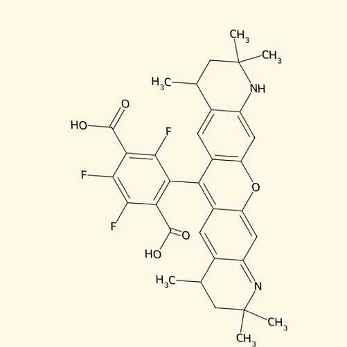 CC1CC(C)(C)Nc2cc3c(cc21)C(c1c(F)c(C(=O)O)c(F)c(F)c1C(=O)O)=c1cc2c(cc1O3)=NC(C)(C)CC2C